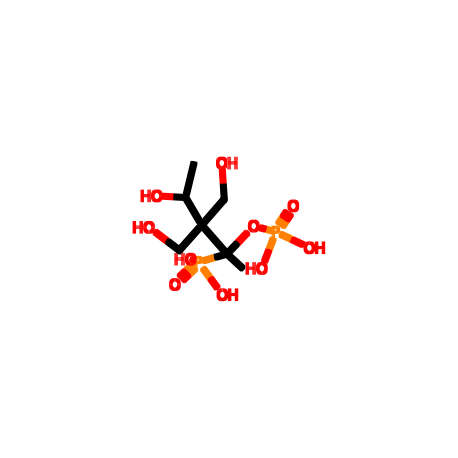 CC(O)C(CO)(CO)C(C)(OP(=O)(O)O)P(=O)(O)O